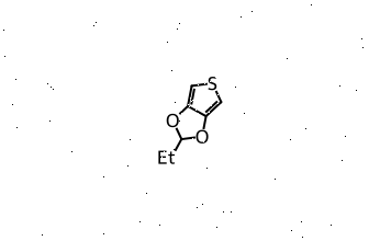 CCC1Oc2cscc2O1